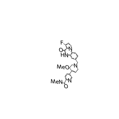 CNC(=O)c1ccc(C2=CCN(Cc3ccc4c(c3)[nH]c(=O)c3c(F)ccn34)CC2OC)cn1